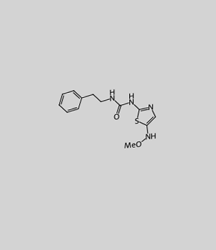 CONc1cnc(NC(=O)NCCc2ccccc2)s1